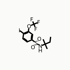 CCC(C)(C)NS(=O)(=O)c1ccc(I)c(OC(F)(F)F)c1